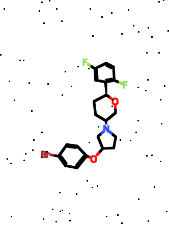 Fc1ccc(F)c([C@@H]2CC[C@@H](N3CCC(Oc4ccc(Br)cc4)C3)CO2)c1